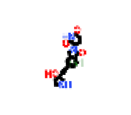 Cl.O=C1CCC(N2Cc3cc(C#CC4(O)CCNC4)ccc3C2=O)C(=O)N1